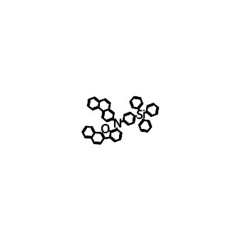 c1ccc([Si](c2ccccc2)(c2ccccc2)c2ccc(N(c3ccc4c(ccc5ccccc54)c3)c3cccc4c3oc3c5ccccc5ccc43)cc2)cc1